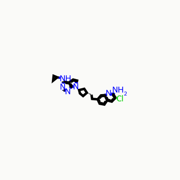 Nc1nc2cc(CC[C@@H]3CC[C@H](n4ccc5c(NC6CC6)ncnc54)C3)ccc2cc1Cl